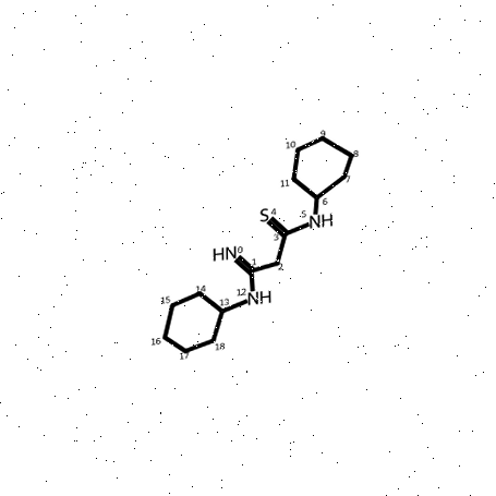 N=C(CC(=S)NC1CCCCC1)NC1CCCCC1